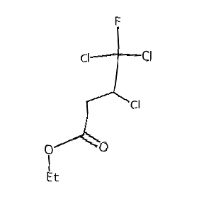 CCOC(=O)CC(Cl)C(F)(Cl)Cl